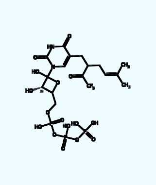 CC(C)=CCC(Cc1cn(C2(O)OC(COP(=O)(O)OP(=O)(O)OP(=O)(O)O)[C@@H]2O)c(=O)[nH]c1=O)C(=O)C(F)(F)F